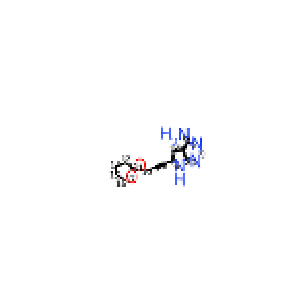 Nc1ncnc2[nH]c(C#CCOC3CCCCO3)cc12